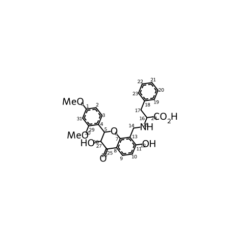 COc1ccc(C2Oc3c(ccc(O)c3CNC(Cc3ccccc3)C(=O)O)C(=O)C2O)c(OC)c1